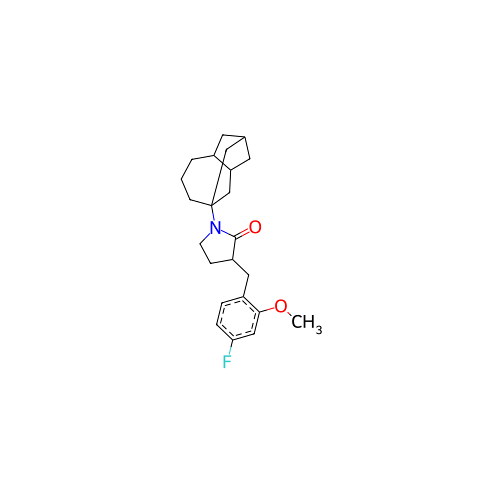 COc1cc(F)ccc1CC1CCN(C23CCCC4CC(CC4C2)C3)C1=O